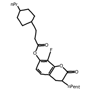 CCCCCC1Cc2ccc(OC(=O)CCC3CCC(CCC)CC3)c(F)c2OC1=O